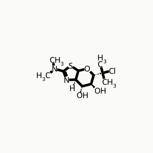 CN(C)C1=N[C@H]2C(O[C@H](C(C)(C)Cl)[C@@H](O)[C@@H]2O)S1